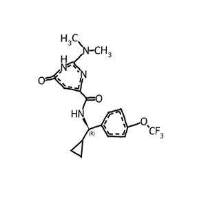 CN(C)c1nc(C(=O)N[C@@H](c2ccc(OC(F)(F)F)cc2)C2CC2)cc(=O)[nH]1